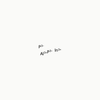 [Al+3].[In+3].[P-3].[P-3]